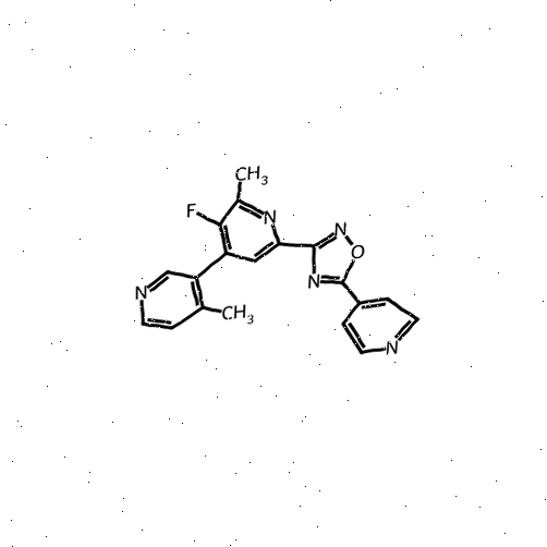 Cc1ccncc1-c1cc(-c2noc(-c3ccncc3)n2)nc(C)c1F